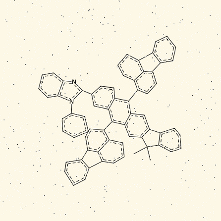 CC1(C)c2ccccc2-c2cc3c(-c4ccc5c6c(cccc46)-c4ccccc4-5)c4ccc(-c5nc6ccccc6n5-c5ccccc5)cc4c(-c4ccc5c6c(cccc46)-c4ccccc4-5)c3cc21